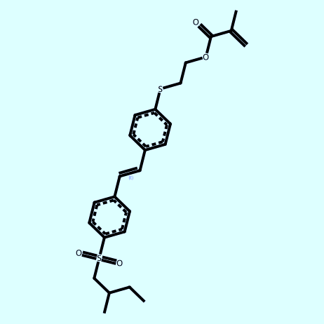 C=C(C)C(=O)OCCSc1ccc(/C=C/c2ccc(S(=O)(=O)CC(C)CC)cc2)cc1